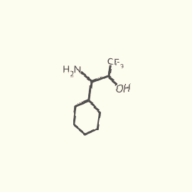 NC(C1CCCCC1)C(O)C(F)(F)F